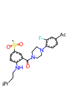 CC(=O)c1ccc(N2CCN(C(=O)c3cc(S(C)(=O)=O)ccc3NCCC(C)C)CC2)c(F)c1